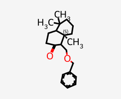 CC1(C)CCC[C@]2(C)C(COCc3ccccc3)C(=O)CCC12